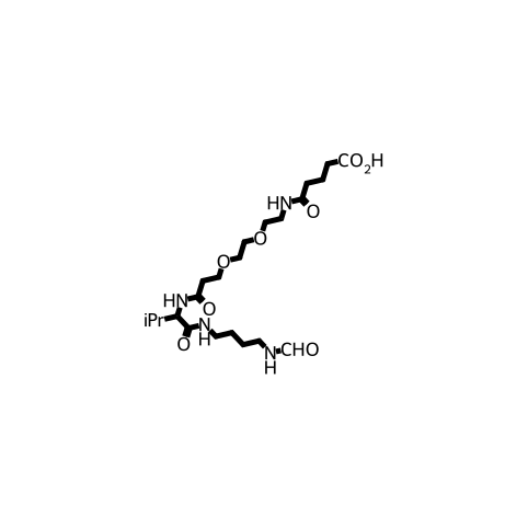 CC(C)C(NC(=O)CCOCCOCCNC(=O)CCCC(=O)O)C(=O)NCCCCNC=O